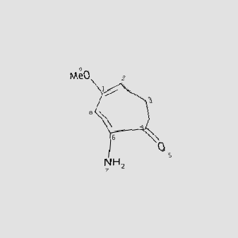 COC1=CCC(=O)C(N)=C1